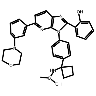 CB(O)NC1(c2ccc(-n3c(-c4ccccc4O)nc4ccc(-c5cccc(N6CCOCC6)c5)nc43)cc2)CCC1